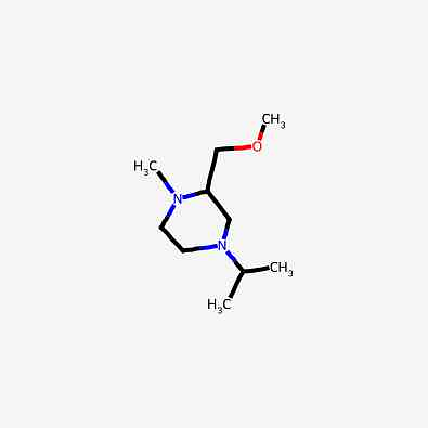 COCC1CN(C(C)C)CCN1C